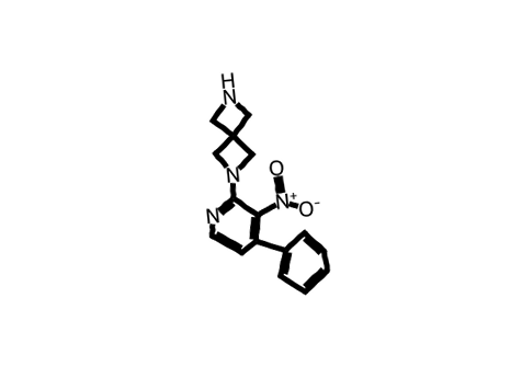 O=[N+]([O-])c1c(-c2ccccc2)ccnc1N1CC2(CNC2)C1